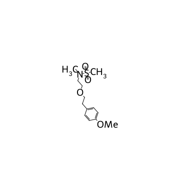 COc1ccc(CCOCCN(C)S(C)(=O)=O)cc1